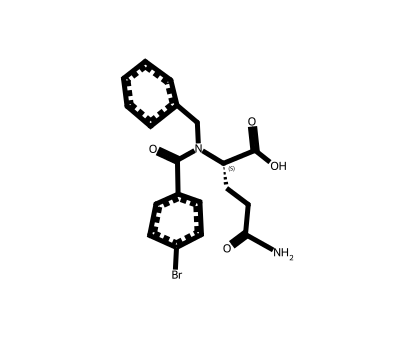 NC(=O)CC[C@@H](C(=O)O)N(Cc1ccccc1)C(=O)c1ccc(Br)cc1